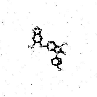 Cc1cc2nsnc2cc1Nc1ncc2c(n1)n(C13CCC(O)(CC1)C3)c(=O)n2C